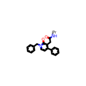 CC(C)NC(=O)Cc1c(-c2ccccc2)ccn(Cc2ccccc2)c1=O